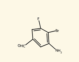 Nc1cc(C=O)cc(F)c1Br